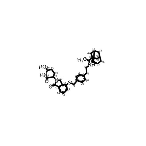 CC(NCCc1ccc(CSc2cccc3c2CN(C2CCC(O)NC2=O)C3=O)cc1)C12CC3CC(CC(C3)C1)C2